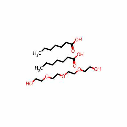 CCCCCCC(=O)O.CCCCCCC(=O)O.OCCOCCOCCOCCO